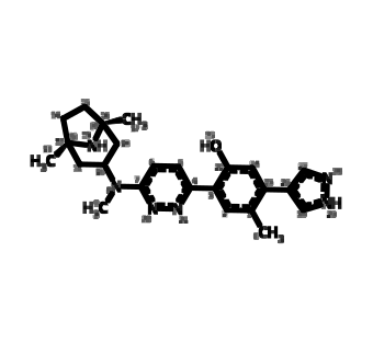 Cc1cc(-c2ccc(N(C)C3C[C@]4(C)CC[C@](C)(C3)N4)nn2)c(O)cc1-c1cn[nH]c1